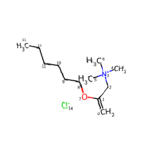 C=C(C[N+](C)(C)C)OCCCCCC.[Cl-]